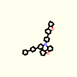 c1ccc(-c2ccc(-c3ccc(N(c4ccc(-c5ccc6c(c5)oc5ccccc56)cc4)c4cccc5oc6ccccc6c45)cc3)cc2)cc1